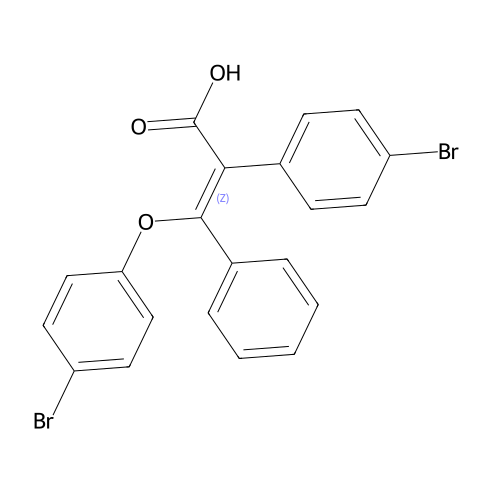 O=C(O)/C(=C(\Oc1ccc(Br)cc1)c1ccccc1)c1ccc(Br)cc1